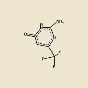 Nc1nc(C(F)(F)F)cc(=O)[nH]1